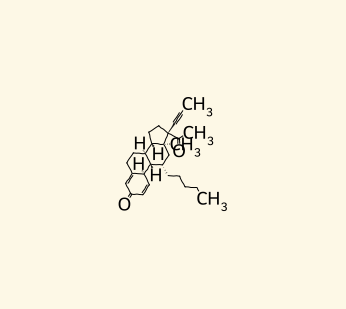 CC#C[C@]1(C(C)=O)CC[C@H]2[C@@H]3CCC4=CC(=O)C=C[C@@H]4[C@H]3[C@@H](CCCCC)C[C@@]21C